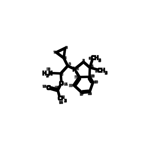 CC1(C)CN(C(C2CC2)C(N)OC(=O)C(F)(F)F)c2ccccc21